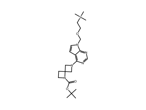 CC(C)(C)OC(=O)N1CCC12CN(c1ncnc3c1ccn3COCC[Si](C)(C)C)C2